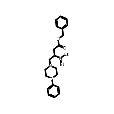 CCN(CC)C(CC(=O)OCc1ccccc1)CN1CCN(c2ccccc2)CC1